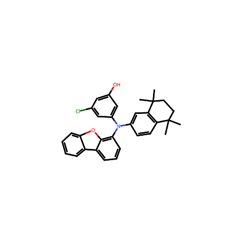 CC1(C)CCC(C)(C)c2cc(N(c3cc(O)cc(Cl)c3)c3cccc4c3oc3ccccc34)ccc21